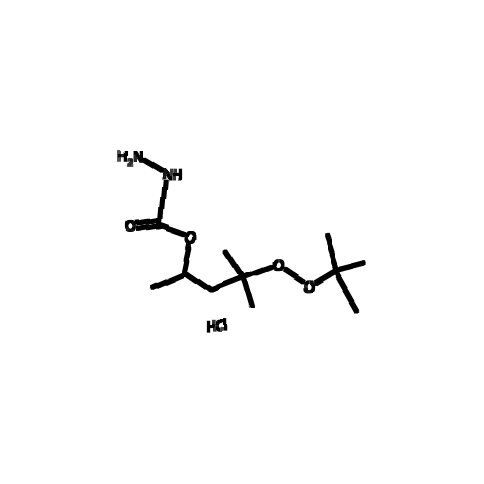 CC(CC(C)(C)OOC(C)(C)C)OC(=O)NN.Cl